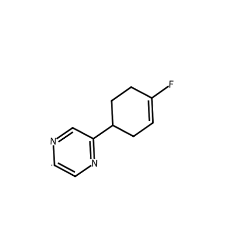 FC1=CCC(c2cn[c]cn2)CC1